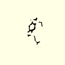 CCn1c(=O)[nH]c2cc3nc(N)n(CCC(N)=O)c3cc21